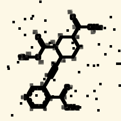 COC(=O)c1ccncc1C#CC1CCC(C(=O)OC)CN1C(=O)OC(C)(C)C